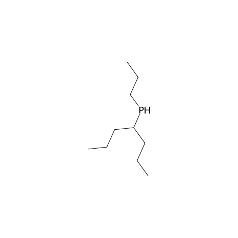 CCCPC(CCC)CCC